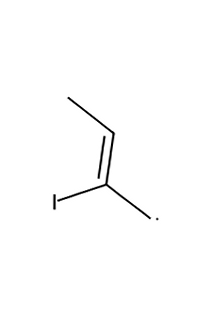 [CH2]C(I)=CC